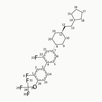 Fc1cc(-c2ccc([C@H]3CC[C@H](CCC4CCCC4)CC3)cc2F)ccc1OC(F)(F)F